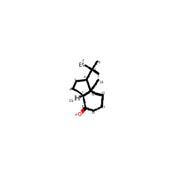 CCC(C)(C)C1CC[C@H]2C(=O)CCCC12C